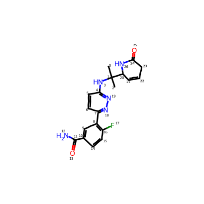 CC(C)(Nc1ccc(-c2cc(C(N)=O)ccc2F)nn1)C1C=CCC(=O)N1